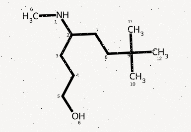 CNC(CCCO)CCC(C)(C)C